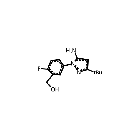 CC(C)(C)c1cc(N)n(-c2ccc(F)c(CO)c2)n1